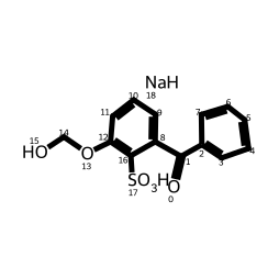 O=C(c1ccccc1)c1cccc(OCO)c1S(=O)(=O)O.[NaH]